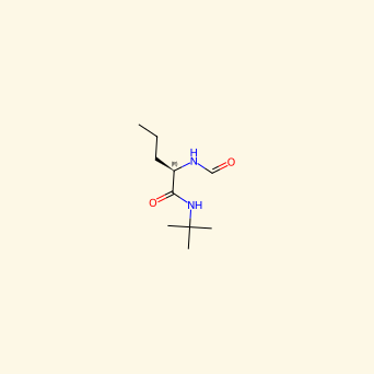 CCC[C@@H](NC=O)C(=O)NC(C)(C)C